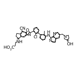 Cc1c(Nc2nccc3cc(CN4CC[C@@H](O)C4)cnc23)cccc1-c1cccc(-c2nc3cc4c(c(C#N)c3o2)CC[C@H]4NCCC(=O)O)c1Cl